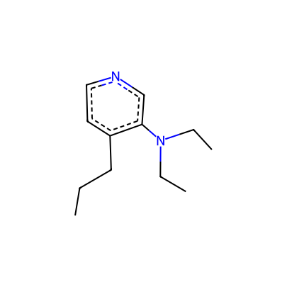 CCCc1ccncc1N(CC)CC